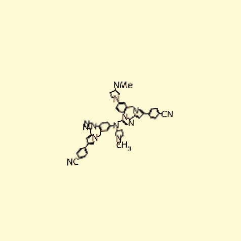 CNC1CCN(c2ccc3c(c2)Cn2cc(-c4ccc(C#N)cc4)cc2-c2ncc(CN(c4ccc5c(c4)Cn4cc(-c6ccc(C#N)cc6)cc4-c4nncn4-5)C4CCN(C)C4)n2-3)C1